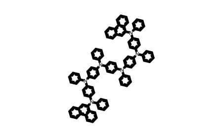 c1ccc(N(c2ccc(N(c3ccccc3)c3ccc(N(c4ccccc4)c4ccc(N(c5ccccc5)c5cc6ccccc6c6ccccc56)cc4)cc3)cc2)c2ccc(N(c3ccccc3)c3ccc(N(c4ccccc4)c4cc5ccccc5c5ccccc45)cc3)cc2)cc1